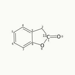 O=[13C]1Cc2ccccc2O1